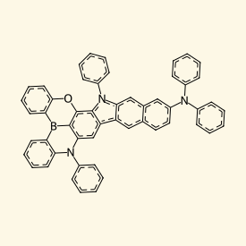 c1ccc(N(c2ccccc2)c2ccc3cc4c5cc6c7c(c5n(-c5ccccc5)c4cc3c2)Oc2ccccc2B7c2ccccc2N6c2ccccc2)cc1